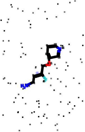 NC/C=C(\F)COc1cccnc1